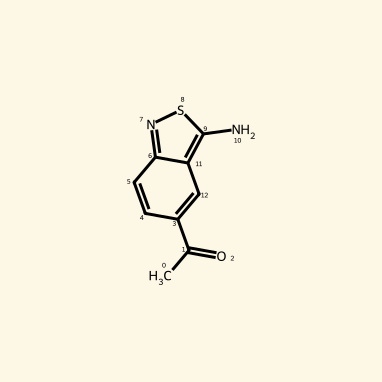 CC(=O)c1ccc2nsc(N)c2c1